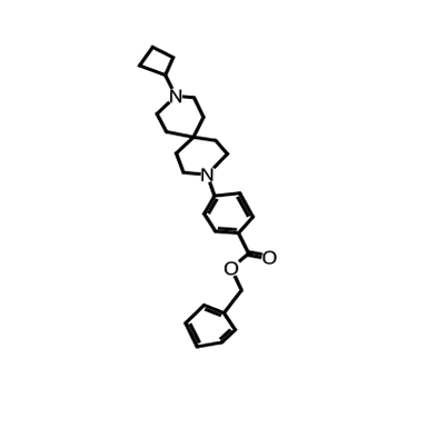 O=C(OCc1ccccc1)c1ccc(N2CCC3(CC2)CCN(C2CCC2)CC3)cc1